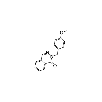 COc1ccc(Cn2ncc3ccccc3c2=O)cc1